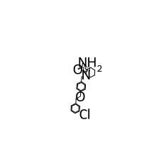 NC(=O)[C@@H]1CCCCN1Cc1ccc(OCc2cccc(Cl)c2)cc1